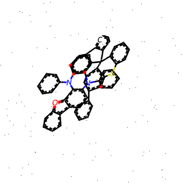 c1ccc(-c2ccc3c(c2)Sc2ccccc2C32c3ccccc3-c3ccc(N(c4ccccc4)c4c(N(c5ccccc5)c5ccccc5)ccc5c4oc4ccccc45)cc32)cc1